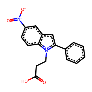 O=C(O)CCn1c(-c2ccccc2)cc2cc([N+](=O)[O-])ccc21